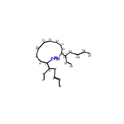 CCCCC(CC)C1CCCCCCCCC(C(CC)CCCC)/N=N/1